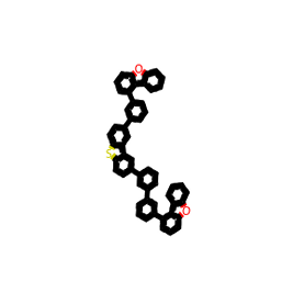 c1cc(-c2cccc(-c3cccc4oc5ccccc5c34)c2)cc(-c2ccc3sc4ccc(-c5cccc(-c6cccc7oc8ccccc8c67)c5)cc4c3c2)c1